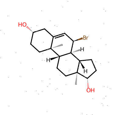 C[C@]12CC[C@H]3[C@@H]([C@H](Br)C=C4C[C@@H](O)CC[C@@]43C)[C@@H]1CC[C@@H]2O